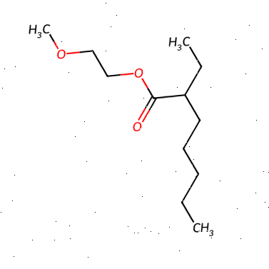 CCCCCC(CC)C(=O)OCCOC